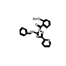 COc1ccccc1C(=O)n1nc(-c2ccccn2)nc1NCc1ccccc1